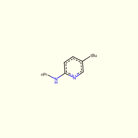 CCCNc1ccc(C(C)(C)C)cn1